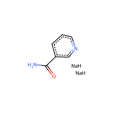 NC(=O)c1cccnc1.[NaH].[NaH]